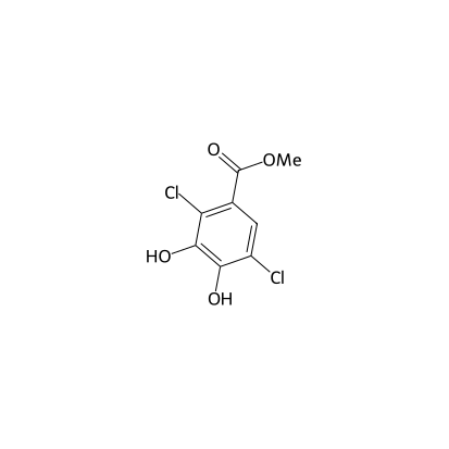 COC(=O)c1cc(Cl)c(O)c(O)c1Cl